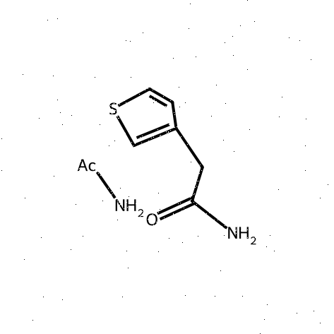 CC(N)=O.NC(=O)Cc1ccsc1